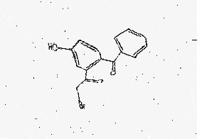 O=C(CBr)c1cc(O)ccc1C(=O)c1ccccc1